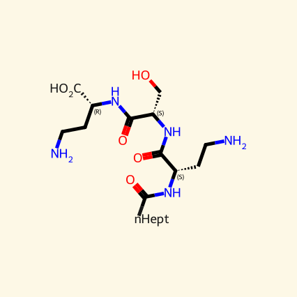 CCCCCCCC(=O)N[C@@H](CCN)C(=O)N[C@@H](CO)C(=O)N[C@H](CCN)C(=O)O